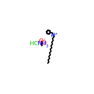 C=CC(=O)[O-].CCCCCCCCCCCCCCCC[N+](C)(C)Cc1ccccc1.Cl.N